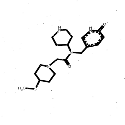 CSC1CCN(CC(=O)N(Cc2ccc(=O)[nH]c2)C2CCNCC2)CC1